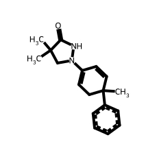 CC1(C)CN(C2=CCC(C)(c3ccccc3)C=C2)NC1=O